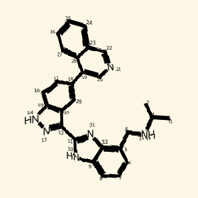 CC(C)NCc1cccc2[nH]c(-c3n[nH]c4ccc(-c5cncc6ccccc56)cc34)nc12